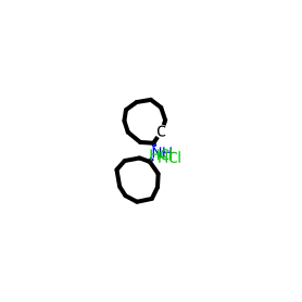 C1CCCCC(NC2CCCCCCCCC2)CCCC1.Cl.Cl